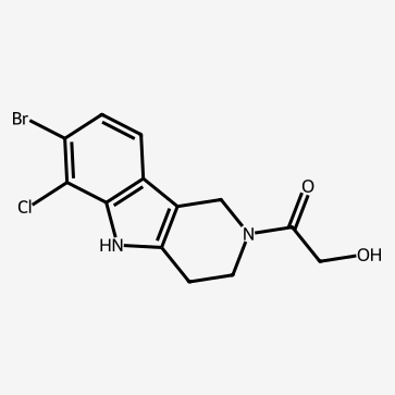 O=C(CO)N1CCc2[nH]c3c(Cl)c(Br)ccc3c2C1